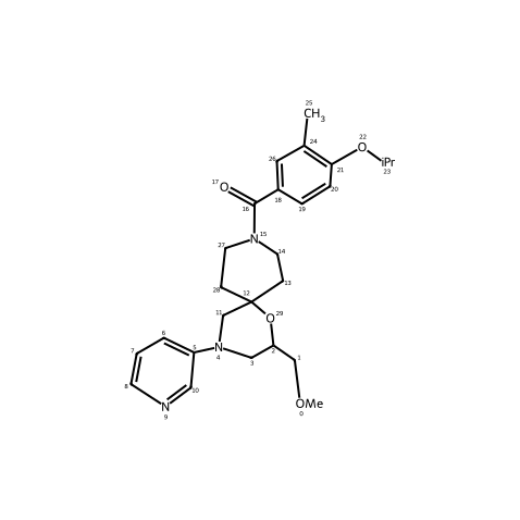 COCC1CN(c2cccnc2)CC2(CCN(C(=O)c3ccc(OC(C)C)c(C)c3)CC2)O1